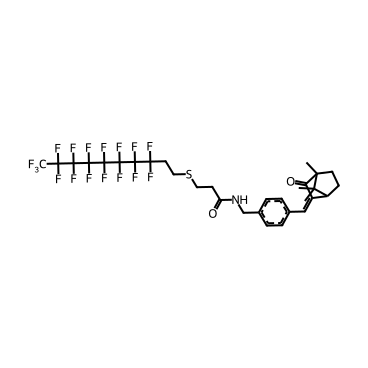 CC12CCC(C(=Cc3ccc(CNC(=O)CCSCCC(F)(F)C(F)(F)C(F)(F)C(F)(F)C(F)(F)C(F)(F)C(F)(F)C(F)(F)F)cc3)C1=O)C2(C)C